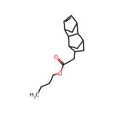 CCCCOC(=O)CC1CC2CC1C1C3C=CC(C3)C21